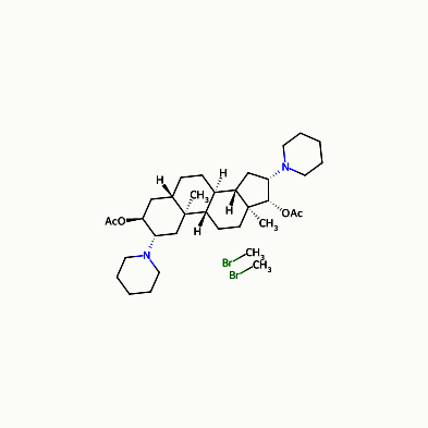 CBr.CBr.CC(=O)O[C@H]1C[C@@H]2CC[C@@H]3[C@H](CC[C@@]4(C)[C@H]3C[C@H](N3CCCCC3)[C@@H]4OC(C)=O)[C@@]2(C)C[C@@H]1N1CCCCC1